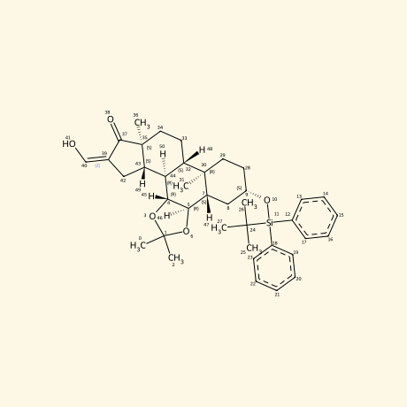 CC1(C)O[C@H]2[C@H](O1)[C@H]1C[C@@H](O[Si](c3ccccc3)(c3ccccc3)C(C)(C)C)CC[C@]1(C)[C@H]1CC[C@]3(C)C(=O)/C(=C\O)C[C@H]3[C@H]21